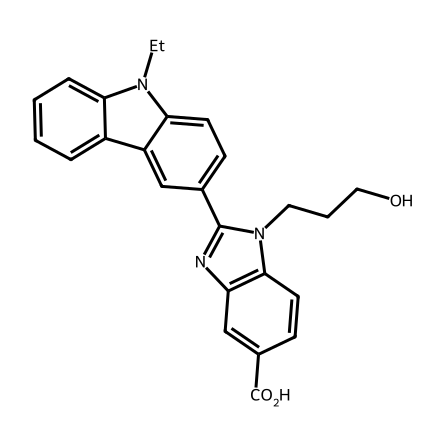 CCn1c2ccccc2c2cc(-c3nc4cc(C(=O)O)ccc4n3CCCO)ccc21